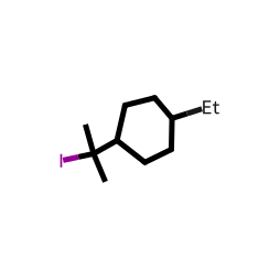 CCC1CCC(C(C)(C)I)CC1